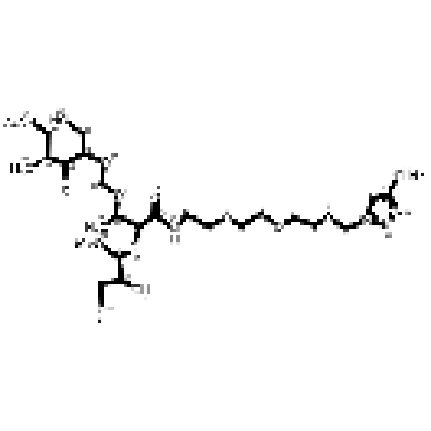 CCCCCCc1cn(COCCOCCOCCNC(=O)C(OC(OC)C(O)CO)C(C)OCOC(CO)C(O)[C@@H](C)CNC(C)=O)nn1